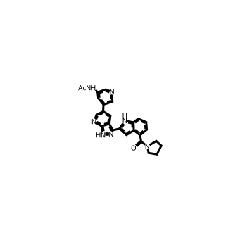 CC(=O)Nc1cncc(-c2cnc3[nH]nc(-c4cc5c(C(=O)N6CCCC6)cccc5[nH]4)c3c2)c1